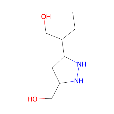 CCC(CO)C1CC(CO)NN1